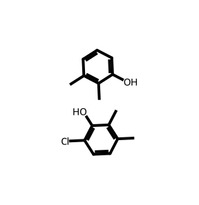 Cc1ccc(Cl)c(O)c1C.Cc1cccc(O)c1C